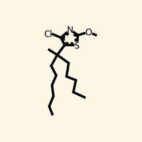 CCCCCCC(C)(CCCCC)c1sc(OC)nc1Cl